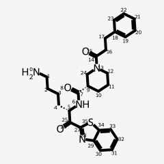 NCCCC[C@H](NC(=O)[C@H]1CCCN(C(=O)CCc2ccccc2)C1)C(=O)c1nc2ccccc2s1